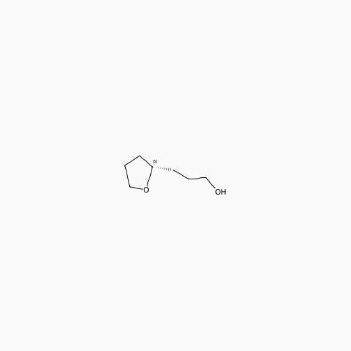 OCCC[C@H]1CCCO1